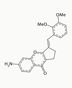 COc1cccc(C=C2CCc3c2oc2cc(N)ccc2c3=O)c1OC